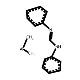 C(=Nc1ccccc1)Nc1ccccc1.[CH3][Al][CH3]